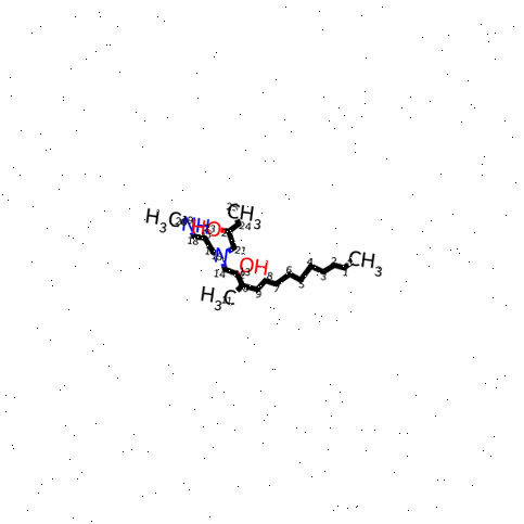 CCCCCCCCCCC(C)C(O)CN(CCCNC)CC(O)CC